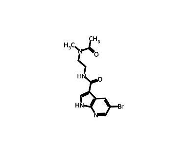 CC(=O)N(C)CCNC(=O)c1c[nH]c2ncc(Br)cc12